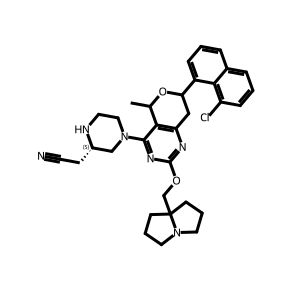 CC1OC(c2cccc3cccc(Cl)c23)Cc2nc(OCC34CCCN3CCC4)nc(N3CCN[C@@H](CC#N)C3)c21